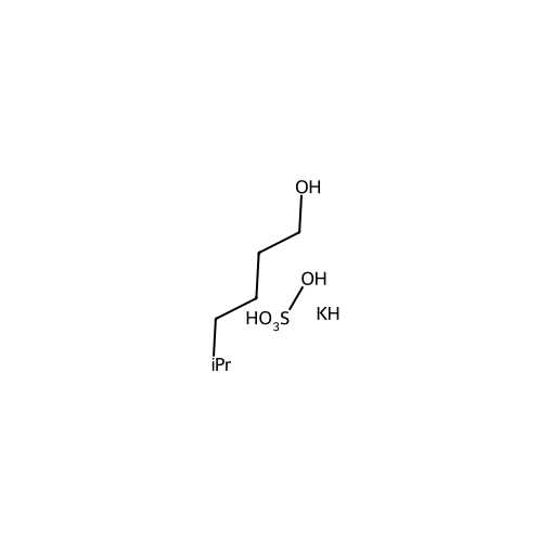 CC(C)CCCCO.O=S(=O)(O)O.[KH]